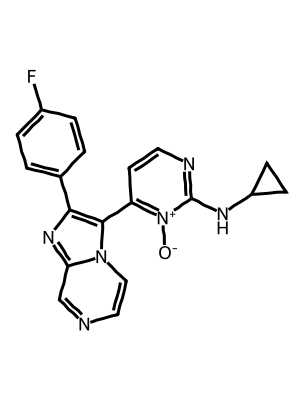 [O-][n+]1c(-c2c(-c3ccc(F)cc3)nc3cnccn23)ccnc1NC1CC1